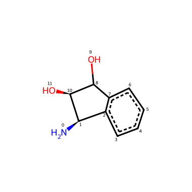 N[C@@H]1c2ccccc2C(O)[C@@H]1O